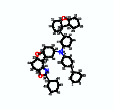 c1ccc(-c2ccc(N(c3cccc(-c4cccc5oc6ccccc6c45)c3)c3ccc4oc5ccc6oc(-c7ccccc7)nc6c5c4c3)cc2)cc1